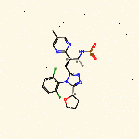 Cc1cnc([C@H](Cc2nnc([C@@H]3CCCO3)n2-c2c(F)cccc2F)[C@@H](C)N[SH](=O)=O)nc1